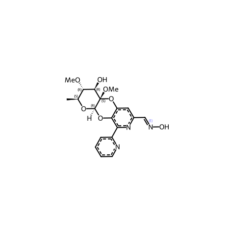 CO[C@H]1[C@H](C)O[C@@H]2Oc3c(cc(/C=N/O)nc3-c3ccccn3)O[C@@]2(OC)[C@@H]1O